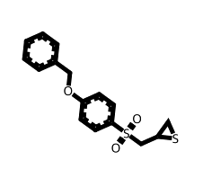 O=S(=O)(CC1CS1)c1ccc(OCc2ccccc2)cc1